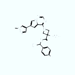 CCC(NC(=O)C1(OC)CN(c2ncnn3cc(-c4cnn(C)c4)cc23)C1)c1ccc(Cl)cc1